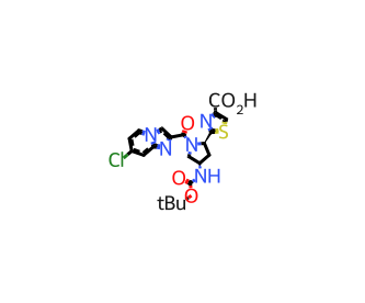 CC(C)(C)OC(=O)N[C@@H]1C[C@H](c2nc(C(=O)O)cs2)N(C(=O)c2cn3ccc(Cl)cc3n2)C1